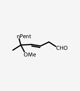 CCCCCC(C)(C=CCC=O)OC